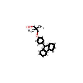 CC(C)(CO)COc1ccc(C2c3ccccc3-c3ccccc32)cc1